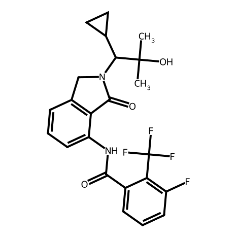 CC(C)(O)C(C1CC1)N1Cc2cccc(NC(=O)c3cccc(F)c3C(F)(F)F)c2C1=O